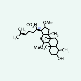 COC1CC2(C)C(CC(OC)C3C4(C)CCC(O)C(C)C4CCC32C)/C1=C(\CCC=C(C)C)C(=O)O